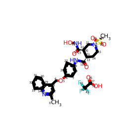 Cc1cc(COc2ccc(NC(=O)[C@H]3CCN(S(C)(=O)=O)C[C@@H]3C(=O)NO)cc2)c2ccccc2n1.O=C(O)C(F)(F)F